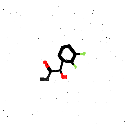 COC(=O)C(O)c1cccc(F)c1F